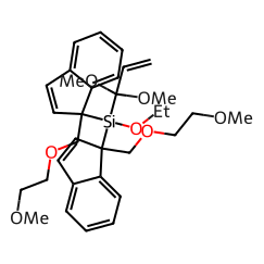 C=CC(OC)(OC)[Si](OCC)(C1(COCCOC)C=Cc2ccccc21)C1(COCCOC)C=Cc2ccccc21